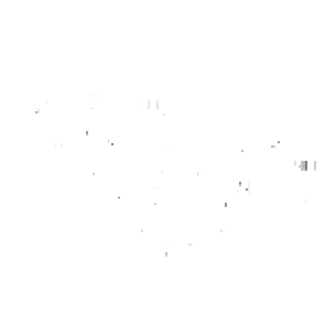 CC1CC2=C(C=C=C/C=C(/N3CCNCC3)C2)CCN1C(=O)OC(C)(C)C